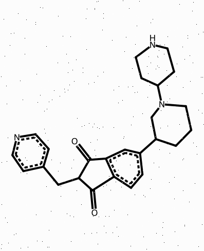 O=C1c2ccc(C3CCCN(C4CCNCC4)C3)cc2C(=O)C1Cc1ccncc1